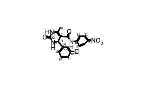 CC1=C(C(=O)Nc2ccc([N+](=O)[O-])cc2)C(c2cccc(Cl)c2)NC(=O)N1